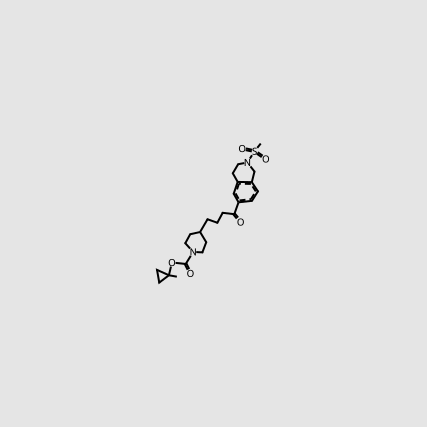 CC1(OC(=O)N2CCC(CCCC(=O)c3ccc4c(c3)CCN(S(C)(=O)=O)C4)CC2)CC1